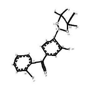 CC1(C)OB(c2ccc(C(=O)c3ccccc3F)cc2F)OC1(C)C